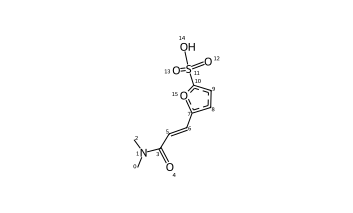 CN(C)C(=O)C=Cc1ccc(S(=O)(=O)O)o1